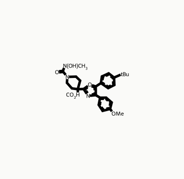 COc1ccc(-c2nc(C3(C(=O)O)CCN(C(=O)N(C)O)CC3)oc2-c2ccc(C(C)(C)C)cc2)cc1